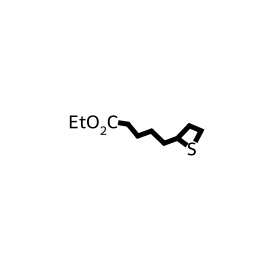 CCOC(=O)CCCCC1CCS1